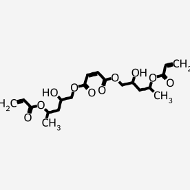 C=CC(=O)OC(C)CC(O)COC(=O)/C=C\C(=O)OCC(O)CC(C)OC(=O)C=C